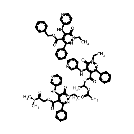 CCn1nc(-c2ccccc2)c(C(=O)OC(C)OC(C)=O)c(Nc2cccnc2)c1=O.CCn1nc(-c2ccccc2)c(C(=O)OCC(=O)N(C)C)c(Nc2cccnc2)c1=O.CCn1nc(-c2ccccc2)c(C(=O)OCc2ccccc2)c(Nc2cccnc2)c1=O